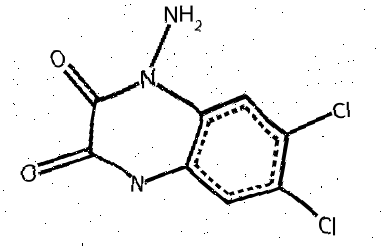 NN1C(=O)C(=O)[N]c2cc(Cl)c(Cl)cc21